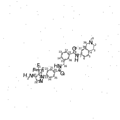 CN1CCc2ccc(NC(=O)c3cccc(CNC(=O)c4ccc(-n5ncc(N)c5C(F)(F)F)cc4)c3)cc2C1